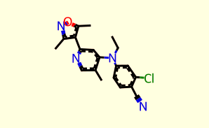 CCN(c1ccc(C#N)c(Cl)c1)c1cc(-c2c(C)noc2C)ncc1C